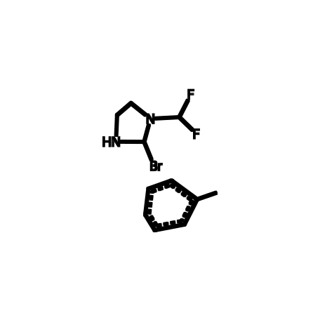 Cc1ccccc1.FC(F)N1CCNC1Br